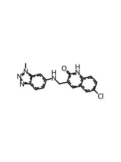 Cn1nnc2ccc(NCc3cc4cc(Cl)ccc4[nH]c3=O)cc21